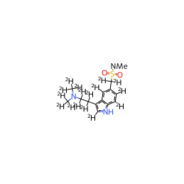 [2H]c1[nH]c2c([2H])c([2H])c(C([2H])([2H])S(=O)(=O)NC)c([2H])c2c1C([2H])([2H])C([2H])([2H])N(C([2H])([2H])[2H])C([2H])([2H])[2H]